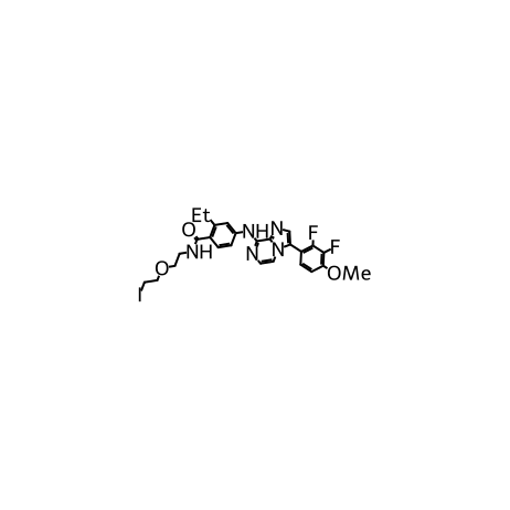 CCc1cc(Nc2nccn3c(-c4ccc(OC)c(F)c4F)cnc23)ccc1C(=O)NCCOCCI